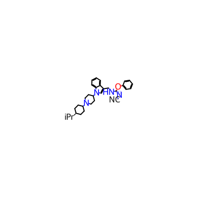 CC(C)[C@H]1CC[C@@H](N2CCC(n3cc(CN/C(=N\C#N)Oc4ccccc4)c4ccccc43)CC2)CC1